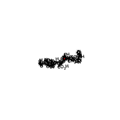 Cc1c(-c2ccc(-c3ccc4nccc(C(=O)Nc5nc6ccccc6s5)c4c3)nc2C(=O)O)cnn1CC12CC3(C)CC(C)(C1)CC(OCCN(CCC(=O)O)C(=O)OCc1ccc(N(C(=O)[C@@H](NC(=O)CCCCCN4C(=O)C=CC4=O)C(C)C)[C@@H](CCCNC(N)=O)C(N)=O)cc1)(C3)C2